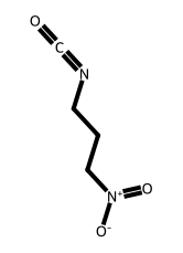 O=C=NCCC[N+](=O)[O-]